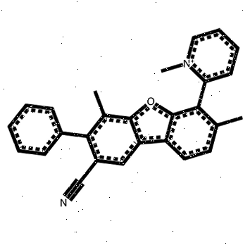 Cc1ccc2c(oc3c(C)c(-c4ccccc4)c(C#N)cc32)c1-c1cccc[n+]1C